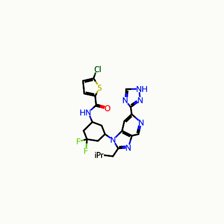 CC(C)Cc1nc2cnc(-c3nc[nH]n3)cc2n1C1CC(NC(=O)c2ccc(Cl)s2)CC(F)(F)C1